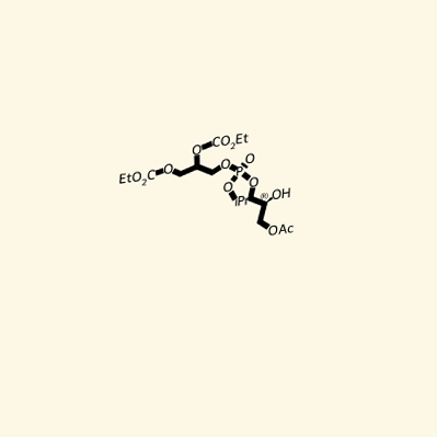 CCOC(=O)OCC(COP(=O)(OC[C@H](O)COC(C)=O)OC(C)C)OC(=O)OCC